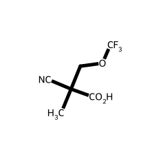 CC(C#N)(COC(F)(F)F)C(=O)O